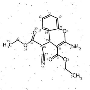 CCOC(=O)C1=C(N)Oc2ccccc2C1C(C#N)C(=O)OCC